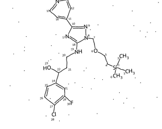 C[Si](C)(C)CCOCn1nc(-c2ccncc2)nc1NCCC(O)c1ccc(Cl)c(F)c1